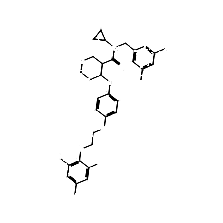 Cc1cc(C)cc(CN(C(=O)C2CNCCC2Nc2ccc(OCCOc3c(Cl)cc(C)cc3Cl)cc2)C2CC2)c1